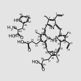 C=CC1=C(C)C2=NC/1=C\c1c(C)c(C=C)c3[n]1[Fe][n]1/c(c(C)c(CCC(=O)O)/c1=C/C1=NC(=C\3)/C(C)=C1CCC(=O)O)=C\2.N[C@@H](Cc1cnc[nH]1)C(=O)O